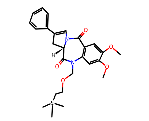 COc1cc2c(cc1OC)N(COCC[Si](C)(C)C)C(=O)[C@@H]1CC(c3ccccc3)=CN1C2=O